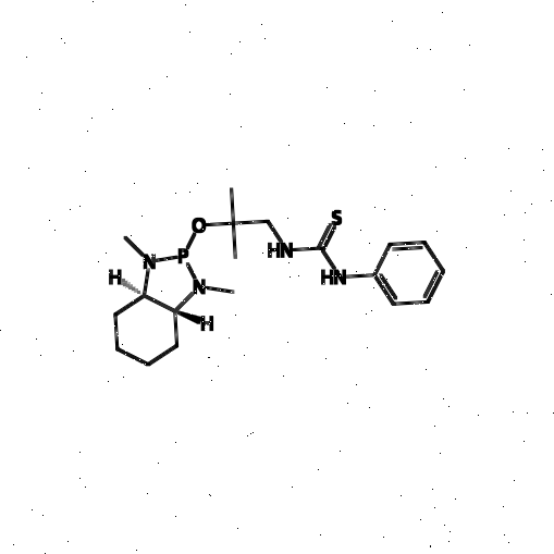 CN1[C@@H]2CCCC[C@H]2N(C)P1OC(C)(C)CNC(=S)Nc1ccccc1